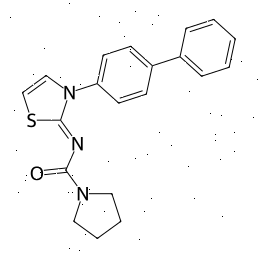 O=C(N=c1sccn1-c1ccc(-c2ccccc2)cc1)N1CCCC1